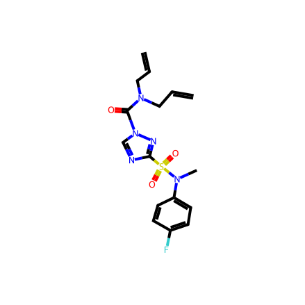 C=CCN(CC=C)C(=O)n1cnc(S(=O)(=O)N(C)c2ccc(F)cc2)n1